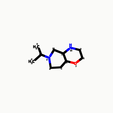 CC(C)N1CCC2OCCNC2C1